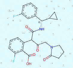 O=C(O)c1c(F)cccc1C(C(=O)CN1CCCC1=O)C(=O)N[C@H](c1cccc(F)c1)C1CC1